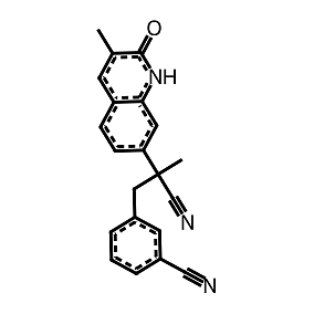 Cc1cc2ccc(C(C)(C#N)Cc3cccc(C#N)c3)cc2[nH]c1=O